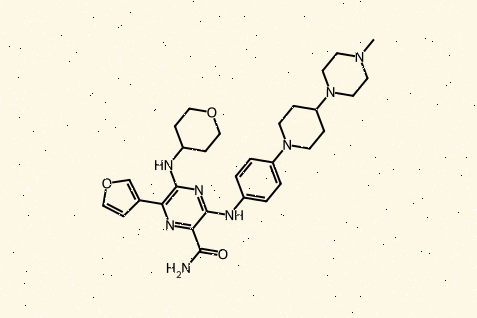 CN1CCN(C2CCN(c3ccc(Nc4nc(NC5CCOCC5)c(-c5ccoc5)nc4C(N)=O)cc3)CC2)CC1